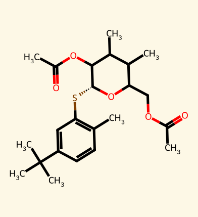 CC(=O)OCC1O[C@H](Sc2cc(C(C)(C)C)ccc2C)C(OC(C)=O)C(C)C1C